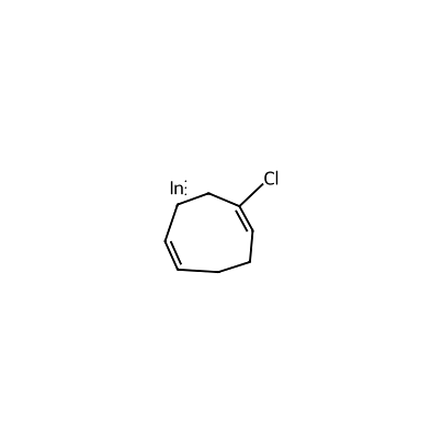 Cl/C1=C/CC/C=C\CC1.[In]